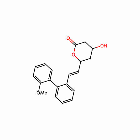 COc1ccccc1-c1ccccc1C=CC1CC(O)CC(=O)O1